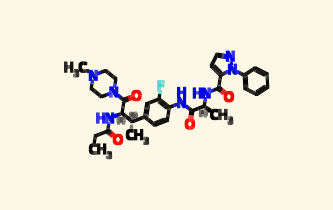 CCC(=O)N[C@@H](C(=O)N1CCN(C)CC1)[C@@H](C)c1ccc(NC(=O)[C@H](C)NC(=O)c2ccnn2-c2ccccc2)c(F)c1